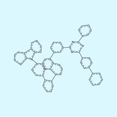 c1ccc(-c2ccc(-c3nc(-c4ccccc4)nc(-c4cccc(-c5cccc6c(-c7ccccc7-c7ccc(-n8c9ccccc9c9ccccc98)cc7)cccc56)c4)n3)cc2)cc1